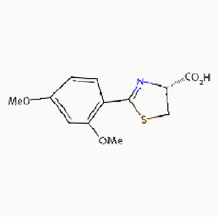 COc1ccc(C2=N[C@H](C(=O)O)CS2)c(OC)c1